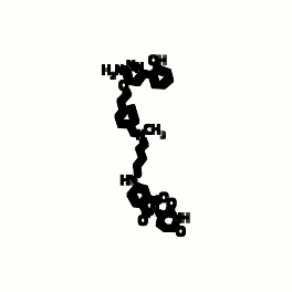 CN(CCCCCNc1ccc2c(c1)C(=O)N(C1CCC(=O)NC1=O)C2=O)Cc1ccc(CCOc2cc(-c3ccccc3O)nnc2N)cc1